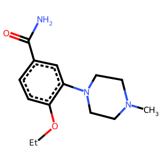 CCOc1ccc(C(N)=O)cc1N1CCN(C)CC1